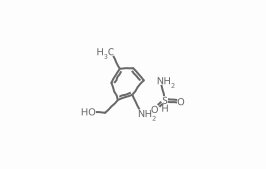 Cc1ccc(N)c(CO)c1.N[SH](=O)=O